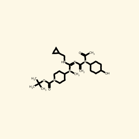 C=C(/N=C(/NCC1CC1)N(C)C1CCN(C(=O)OC(C)(C)C)CC1)N(C(C)=O)C1CCC(O)CC1